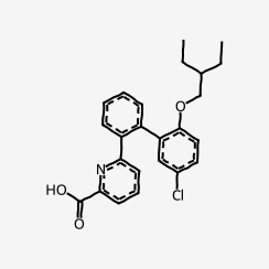 CCC(CC)COc1ccc(Cl)cc1-c1ccccc1-c1cccc(C(=O)O)n1